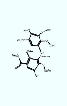 COOc1c(O)cc(C(=O)O)c(OC)c1OOC.COOc1c(O)cc(C(=O)OC)c(OC)c1OOC